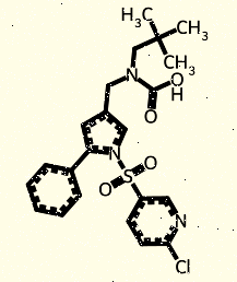 CC(C)(C)CN(Cc1cc(-c2ccccc2)n(S(=O)(=O)c2ccc(Cl)nc2)c1)C(=O)O